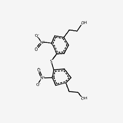 O=[N+]([O-])c1cc(CCO)ccc1Sc1ccc(CCO)cc1[N+](=O)[O-]